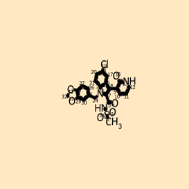 CS(=O)(=O)NC(=O)c1c(-c2ccc[nH]c2=O)c2cc(Cl)ccc2n1Cc1ccc2c(c1)OCO2